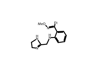 CCC(=NOC)c1ccccc1NCC1=NCCN1